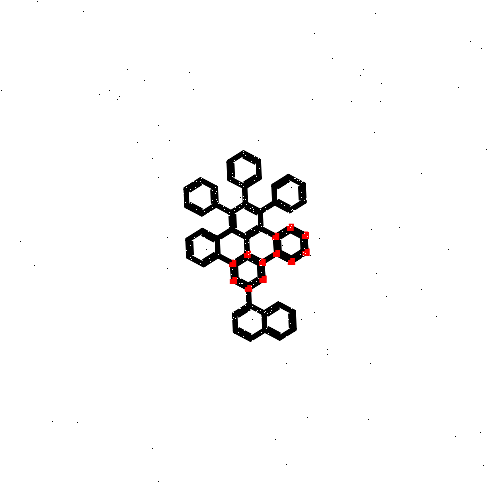 c1ccc(-c2nc(-c3ccccc3-c3c(-c4ccccc4)c(-c4ccccc4)c(-c4ccccc4)c(-c4ccccc4)c3-c3ccccc3)cc(-c3cccc4ccccc34)n2)cc1